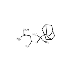 CC(=CC(C)OC(C)(C)C12CC3CC(CC(C3)C1)C2)C(=O)O